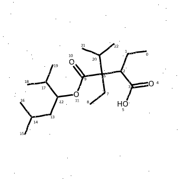 CCC(C(=O)O)C(CC)(C(=O)OC(CC(C)C)C(C)C)C(C)C